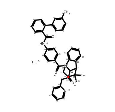 Cc1cccc(-c2ccccc2C(=O)Nc2ccc(C(=O)[N+]34CCC(F)(F)C(c5ccccc53)C4C(=O)Cc3ccccn3)cc2)c1.Cl